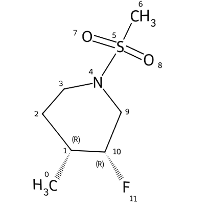 C[C@@H]1CCN(S(C)(=O)=O)C[C@@H]1F